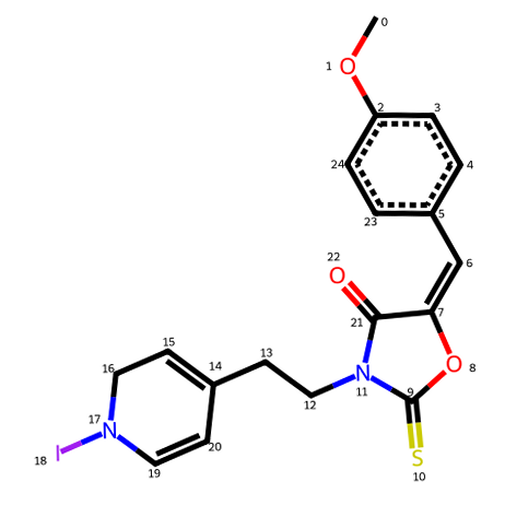 COc1ccc(/C=C2/OC(=S)N(CCC3=CCN(I)C=C3)C2=O)cc1